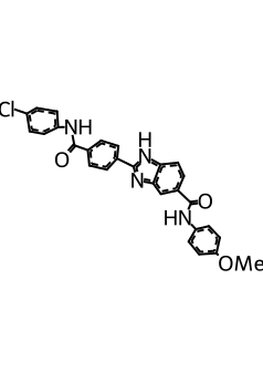 COc1ccc(NC(=O)c2ccc3[nH]c(-c4ccc(C(=O)Nc5ccc(Cl)cc5)cc4)nc3c2)cc1